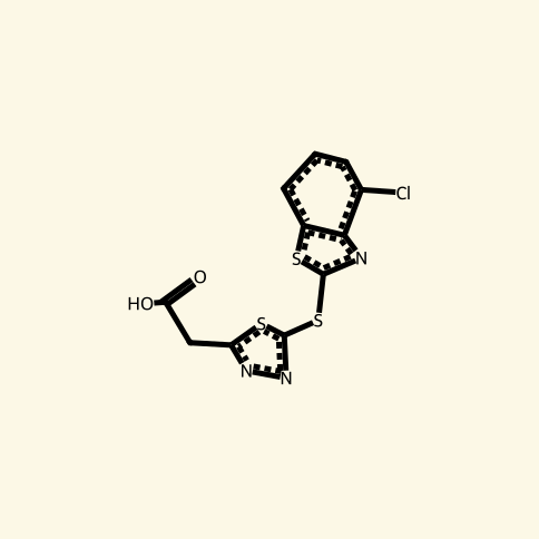 O=C(O)Cc1nnc(Sc2nc3c(Cl)cccc3s2)s1